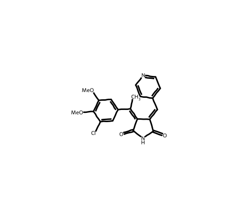 COc1cc(/C(C)=C2\C(=O)NC(=O)\C2=C\c2ccncc2)cc(Cl)c1OC